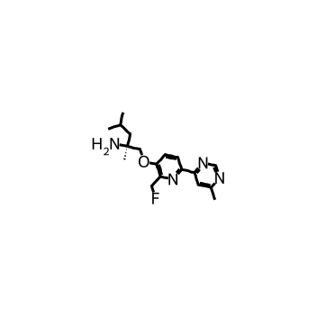 Cc1cc(-c2ccc(OC[C@@](C)(N)CC(C)C)c(CF)n2)ncn1